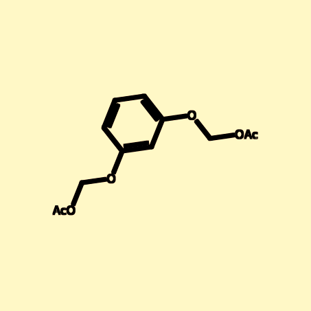 CC(=O)OCOc1cccc(OCOC(C)=O)c1